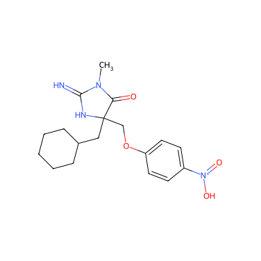 CN1C(=N)NC(COc2ccc([N+](=O)O)cc2)(CC2CCCCC2)C1=O